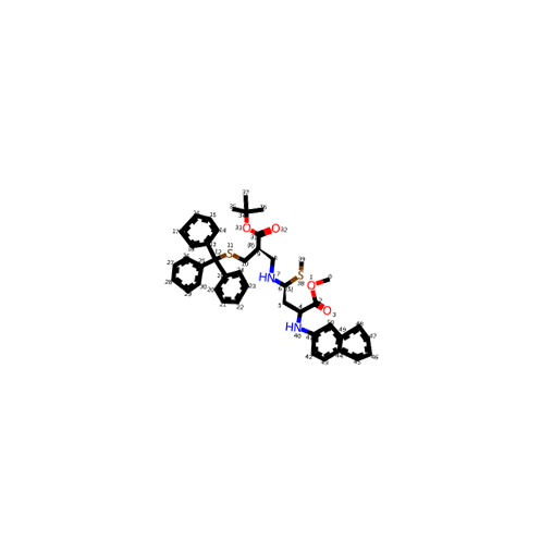 COC(=O)C(C[C@@H](NC[C@@H](CSC(c1ccccc1)(c1ccccc1)c1ccccc1)C(=O)OC(C)(C)C)SC)Nc1ccc2ccccc2c1